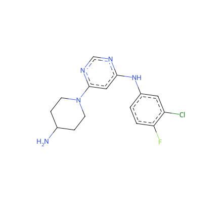 NC1CCN(c2cc(Nc3ccc(F)c(Cl)c3)ncn2)CC1